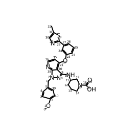 COc1ccc(Cn2nc(N[C@@H]3CCCN(C(=O)O)C3)c3c(Oc4cccc(-c5ncc(C)s5)c4)ccnc32)cc1